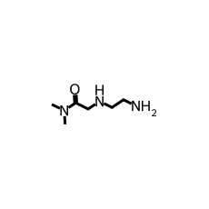 CN(C)C(=O)CNCCN